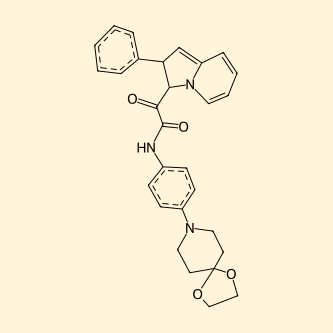 O=C(Nc1ccc(N2CCC3(CC2)OCCO3)cc1)C(=O)C1C(c2ccccc2)C=C2C=CC=CN21